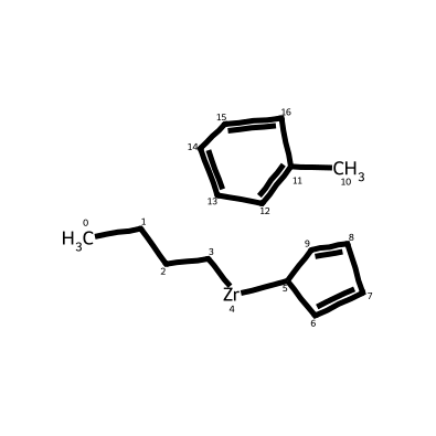 CCC[CH2][Zr][CH]1C=CC=C1.Cc1ccccc1